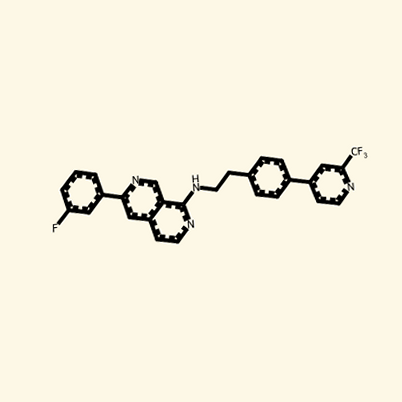 Fc1cccc(-c2cc3ccnc(NCCc4ccc(-c5ccnc(C(F)(F)F)c5)cc4)c3cn2)c1